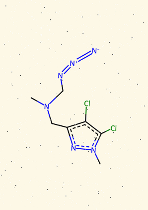 CN(CN=[N+]=[N-])Cc1nn(C)c(Cl)c1Cl